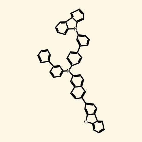 c1ccc(-c2cccc(N(c3ccc(-c4cccc(-n5c6ccccc6c6ccccc65)c4)cc3)c3ccc4cc(-c5ccc6c(c5)oc5ccccc56)ccc4c3)c2)cc1